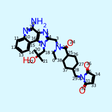 CCN(Cc1nc2c(N)nc3ccccc3c2n1CC(C)(C)O)C(=O)C1CCC(CN2C(=O)C=CC2=O)CC1